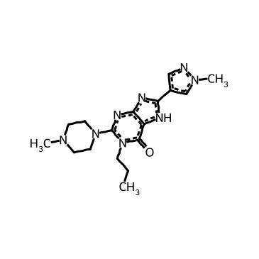 CCCn1c(N2CCN(C)CC2)nc2nc(-c3cnn(C)c3)[nH]c2c1=O